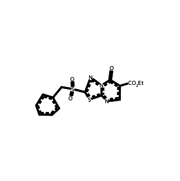 CCOC(=O)c1cnc2sc(S(=O)(=O)Cc3ccccc3)nn2c1=O